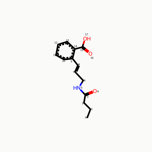 CCCC(=O)NCC=Cc1ccccc1C(=O)O